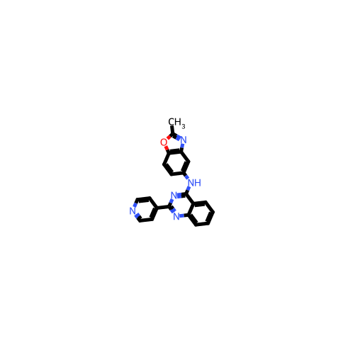 Cc1nc2cc(Nc3nc(-c4ccncc4)nc4ccccc34)ccc2o1